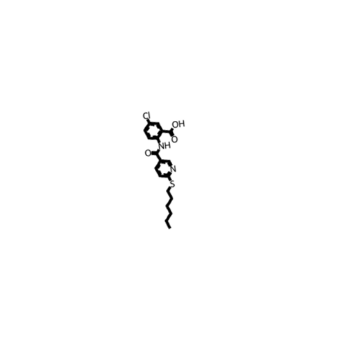 CCCCCCSc1ccc(C(=O)Nc2ccc(Cl)cc2C(=O)O)cn1